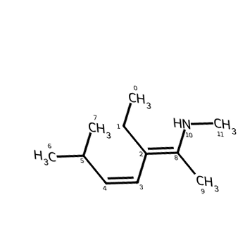 CCC(/C=C\C(C)C)=C(/C)NC